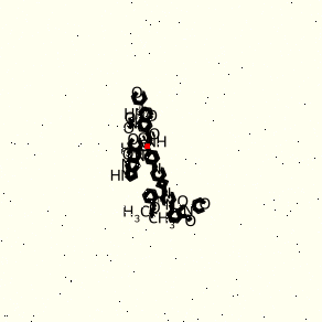 CC(C)Oc1ccccc1[C@@H]1CN(c2cccc3c2C(=O)N(C2CCOCC2)C3=O)CCN1C1CC2(CCN(c3ccc(C(=O)NS(=O)(=O)c4cc5c(c([N+](=O)[O-])c4)N[C@H](C4CCOCC4)CO5)c(N4c5cc6cc[nH]c6nc5O[C@H]5COCC[C@@H]54)c3)CC2)C1